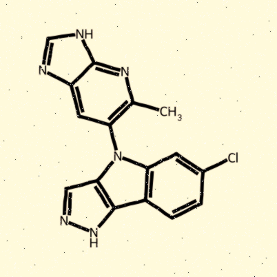 Cc1nc2[nH]cnc2cc1-n1c2cc(Cl)ccc2c2[nH]ncc21